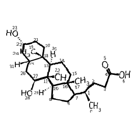 C[C@H](CCC(=O)O)C1CC[C@H]2[C@@]3(C)[C@H](CC[C@]12C)[C@@]1(C)CC[C@@H](O)C[C@H]1C[C@@H]3O